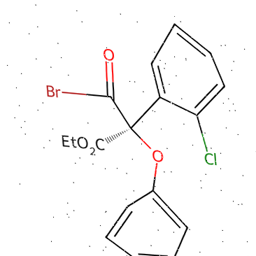 CCOC(=O)[C@](Oc1ccccc1)(C(=O)Br)c1ccccc1Cl